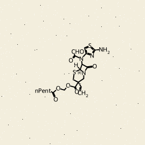 C=CC1(C(=O)OCOC(=O)CCCCC)CS[C@@H]2C(N(C(=O)C=O)c3csc(N)n3)C(=O)N2C1